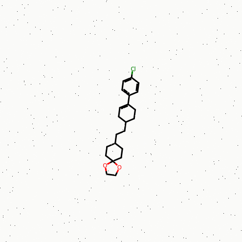 Clc1ccc(C2=CCC(CCC3CCC4(CC3)OCCO4)CC2)cc1